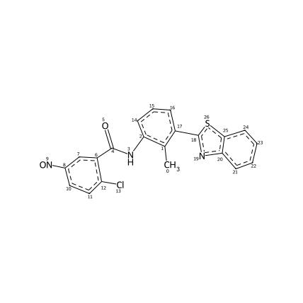 Cc1c(NC(=O)c2cc(N=O)ccc2Cl)cccc1-c1nc2ccccc2s1